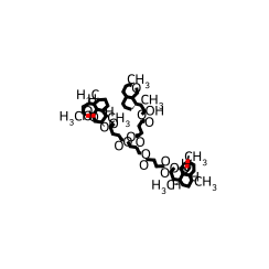 C[C@H]([C@@H]1CCCC2CC[C@H](C)OCC21)[C@@H](O)OC(=O)CCC(=O)OC(COC(=O)CCC(=O)O[C@@H]1O[C@@H]2O[C@@]3(C)CC[C@H]4[C@H](C)CC[C@@H]([C@H]1C)[C@@]24OO3)COC(=O)CCC(=O)O[C@@H]1C[C@@H]2O[C@@]3(C)CC[C@H]4[C@H](C)CC[C@@H]([C@H]1C)[C@@]24OO3